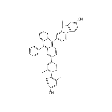 Cc1cc(C#N)ccc1-c1ccc(-c2ccc3c(-c4ccc5c(c4)C(C)(C)c4cc(C#N)ccc4-5)c4ccccc4c(-c4ccccc4)c3c2)cc1C